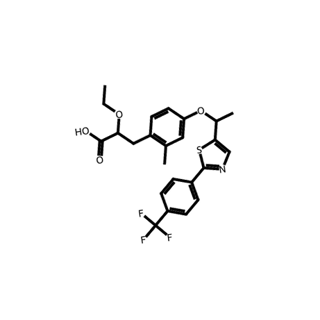 CCOC(Cc1ccc(OC(C)c2cnc(-c3ccc(C(F)(F)F)cc3)s2)cc1C)C(=O)O